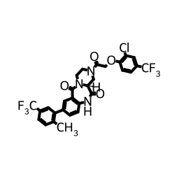 Cc1ccc(C(F)(F)F)cc1-c1ccc2c(c1)C(=O)N1CCN(C(=O)COc3ccc(C(F)(F)F)cc3Cl)C[C@H]1C(=O)N2